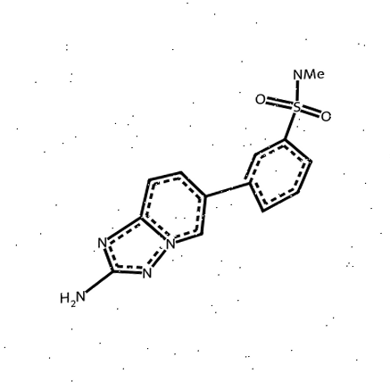 CNS(=O)(=O)c1cccc(-c2ccc3nc(N)nn3c2)c1